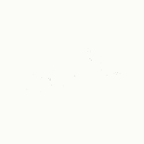 COC(=O)c1cn(C)c2cc(C3CCN(C(=O)OC(C)(C)C)C(C)C3)ccc12